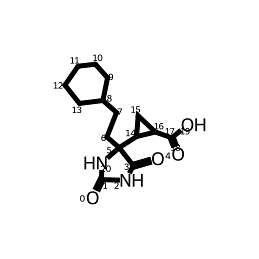 O=C1NC(=O)C(CCC2CCCCC2)(C2CC2C(=O)O)N1